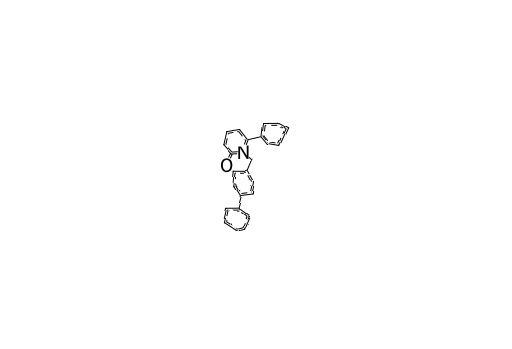 O=c1cccc(-c2ccccc2)n1Cc1ccc(-c2ccccc2)cc1